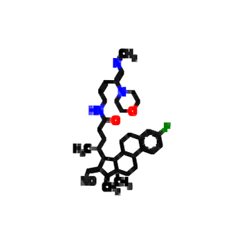 C=N/C=C(\C=C/CNC(=O)CCC(C)C1/C(=C/N=O)C(=C)C2(C)CCC3c4ccc(F)cc4CCC3C12)N1CCOCC1